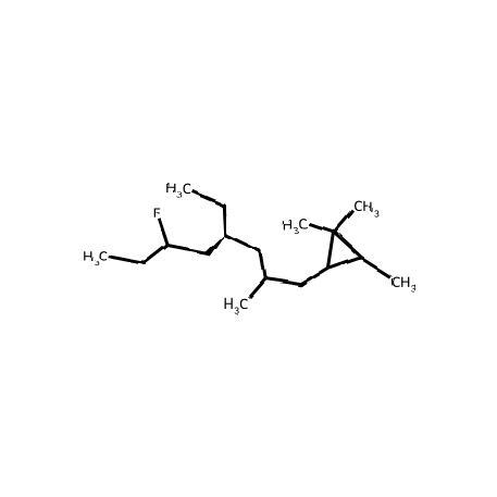 CCC(F)C[C@@H](CC)CC(C)CC1C(C)C1(C)C